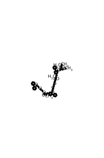 C=C(C)C(=O)OC(COCC)COc1cc(/C=C(\C)C(=O)OCCOCCOCCOc2cc(/C=C(\C)C(=O)OCCCOCCCOc3ccccc3-c3ccccc3)ccc2-c2ccccc2)ccc1-c1ccccc1